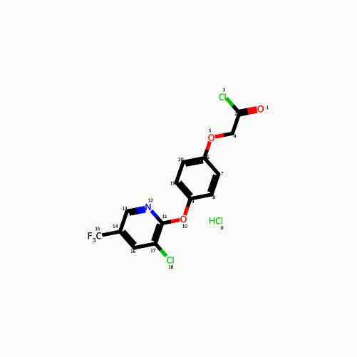 Cl.O=C(Cl)COc1ccc(Oc2ncc(C(F)(F)F)cc2Cl)cc1